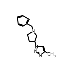 Cc1cn(C2CCN(Cc3ccccc3)C2)nn1